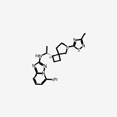 CCCc1cccc2nc(NC(C)[C@H]3CCC34CCN(c3nc(C)ns3)C4)nn12